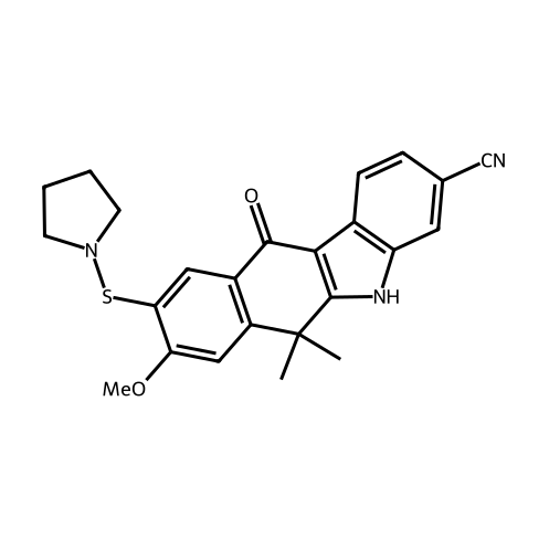 COc1cc2c(cc1SN1CCCC1)C(=O)c1c([nH]c3cc(C#N)ccc13)C2(C)C